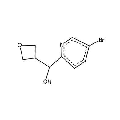 OC(c1ccc(Br)cn1)C1COC1